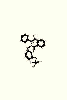 NC(=O)[C@@H](c1ccccc1)N(Cc1cccc(OC(F)(F)F)c1)C(=O)c1ccccc1